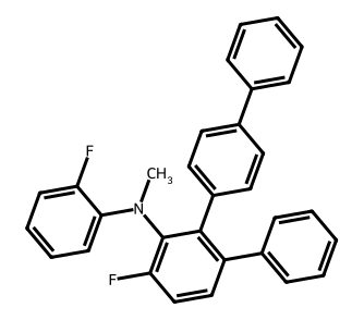 CN(c1ccccc1F)c1c(F)ccc(-c2ccccc2)c1-c1ccc(-c2ccccc2)cc1